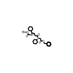 CC(C)(C)OC(=O)NC(CCC(=O)N(CC(=O)OCc1ccccc1)C1CCCCC1)C1CCCCC1